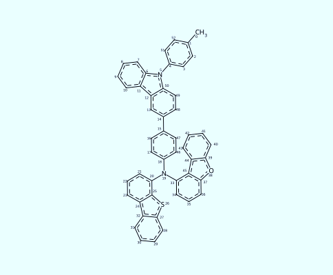 Cc1ccc(-n2c3ccccc3c3cc(-c4ccc(N(c5cccc6c5sc5ccccc56)c5cccc6oc7ccccc7c56)cc4)ccc32)cc1